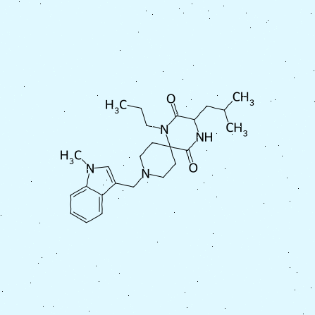 CCCN1C(=O)C(CC(C)C)NC(=O)C12CCN(Cc1cn(C)c3ccccc13)CC2